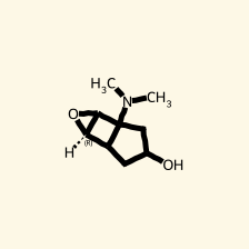 CN(C)C12CC(O)CC1[C@H]1OC12